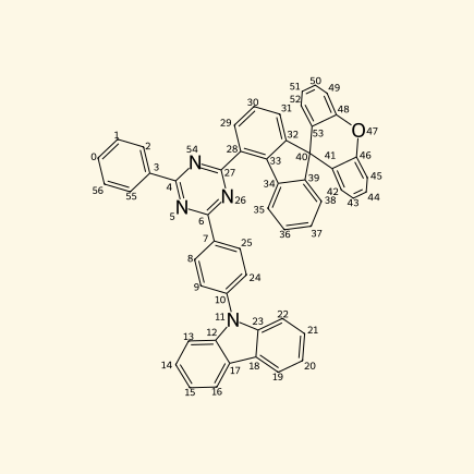 c1ccc(-c2nc(-c3ccc(-n4c5ccccc5c5ccccc54)cc3)nc(-c3cccc4c3-c3ccccc3C43c4ccccc4Oc4ccccc43)n2)cc1